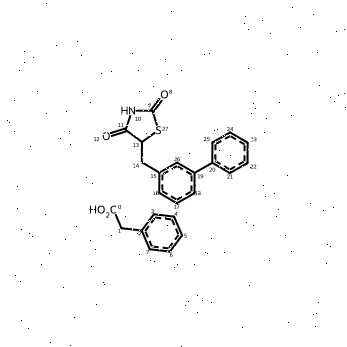 O=C(O)Cc1ccccc1.O=C1NC(=O)C(Cc2cccc(-c3ccccc3)c2)S1